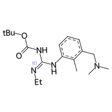 CC/N=C(/NC(=O)OC(C)(C)C)Nc1cccc(CN(C)C)c1C